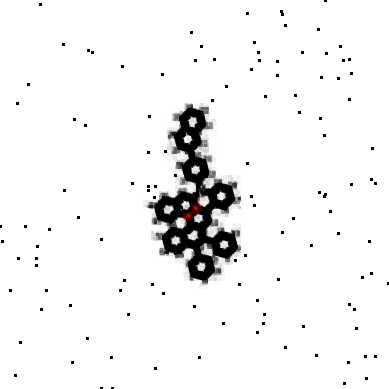 c1ccc(-c2c(-c3ccccc3)c3cc(-c4ccccc4N(c4ccc(-c5ccc6ccccc6c5)cc4)c4ccc5ccccc5c4)ccc3c3ccccc23)cc1